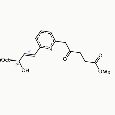 CCCCCCCC[C@H](O)/C=C/c1cccc(CC(=O)CCC(=O)OC)n1